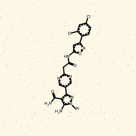 CC(C)n1nc(-c2cnc(CC(=O)Nc3cc(-c4ccc(Cl)cc4Cl)no3)nc2)c(C(N)=O)c1N